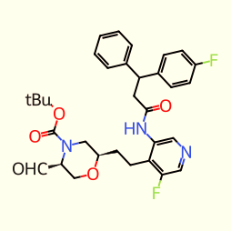 CC(C)(C)OC(=O)N1C[C@@H](CCc2c(F)cncc2NC(=O)CC(c2ccccc2)c2ccc(F)cc2)OC[C@H]1C=O